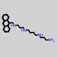 NCCCNCCCCNCCCNCc1c2ccccc2cc2ccccc12